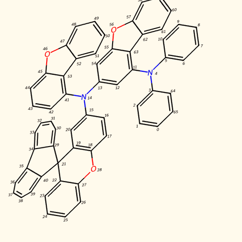 c1ccc(N(c2ccccc2)c2cc(N(c3ccc4c(c3)C3(c5ccccc5O4)c4ccccc4-c4ccccc43)c3cccc4oc5ccccc5c34)cc3oc4ccccc4c23)cc1